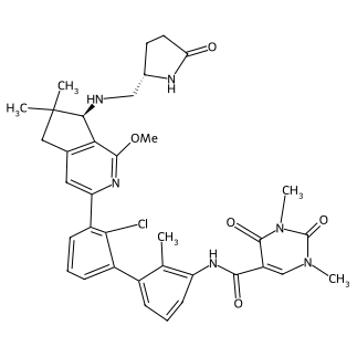 COc1nc(-c2cccc(-c3cccc(NC(=O)c4cn(C)c(=O)n(C)c4=O)c3C)c2Cl)cc2c1[C@H](NC[C@@H]1CCC(=O)N1)C(C)(C)C2